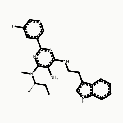 CC[C@H](C)N(C)c1nc(-c2cncc(F)c2)nc(NCCc2c[nH]c3ccccc23)c1N